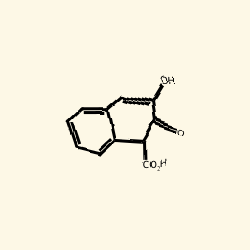 O=C(O)C1C(=O)C(O)=Cc2ccccc21